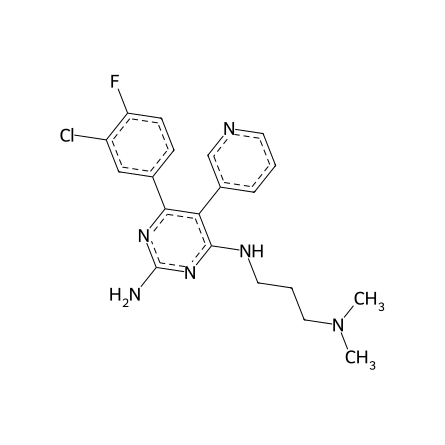 CN(C)CCCNc1nc(N)nc(-c2ccc(F)c(Cl)c2)c1-c1cccnc1